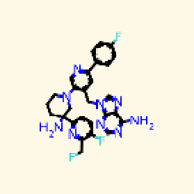 Nc1ncnc2c1ncn2Cc1cc(-c2ccc(F)cc2)ncc1N1CCCC(N)(c2ccc(F)c(CF)n2)C1